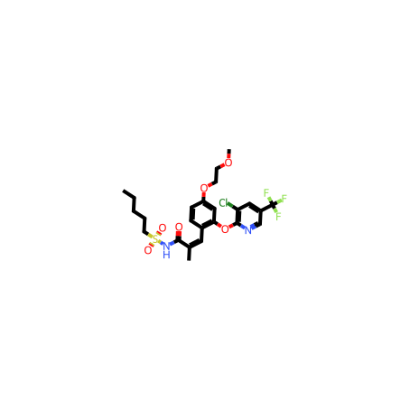 CCCCCS(=O)(=O)NC(=O)C(C)=Cc1ccc(OCCOC)cc1Oc1ncc(C(F)(F)F)cc1Cl